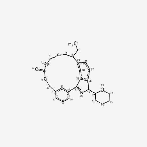 CCC1CCCNC(=O)OCc2cccc(c2)C2=NC(C3CCCCO3)c3ccc1cc32